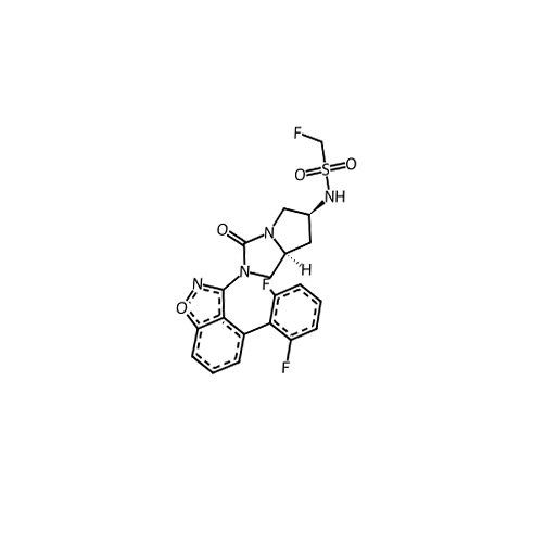 O=C1N(c2noc3cccc(-c4c(F)cccc4F)c23)C[C@@H]2C[C@H](NS(=O)(=O)CF)CN12